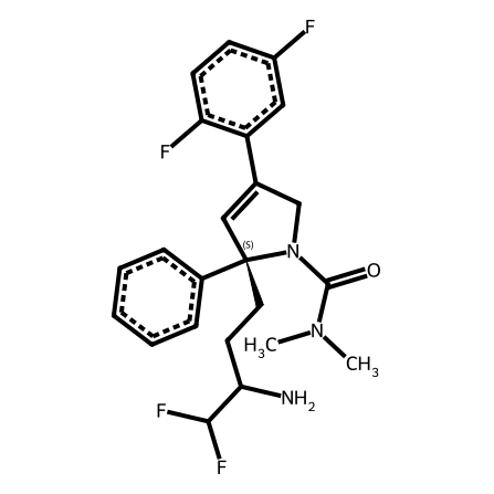 CN(C)C(=O)N1CC(c2cc(F)ccc2F)=C[C@@]1(CCC(N)C(F)F)c1ccccc1